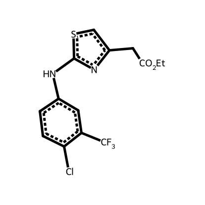 CCOC(=O)Cc1csc(Nc2ccc(Cl)c(C(F)(F)F)c2)n1